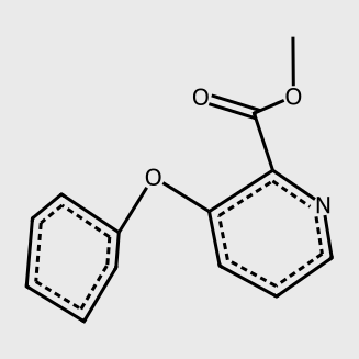 COC(=O)c1ncccc1Oc1ccccc1